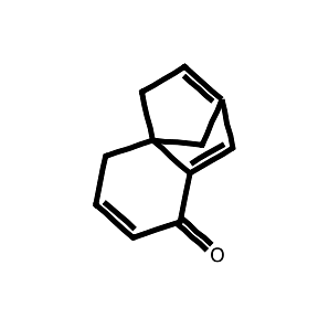 O=C1C=CCC23CC=C(C=C12)C3